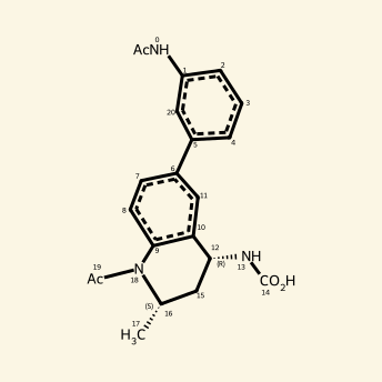 CC(=O)Nc1cccc(-c2ccc3c(c2)[C@H](NC(=O)O)C[C@H](C)N3C(C)=O)c1